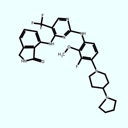 COc1c(Nc2ncc(C(F)(F)F)c(Nc3cccc4c3C(=O)NC4)n2)ccc(N2CCC(N3CCCC3)CC2)c1F